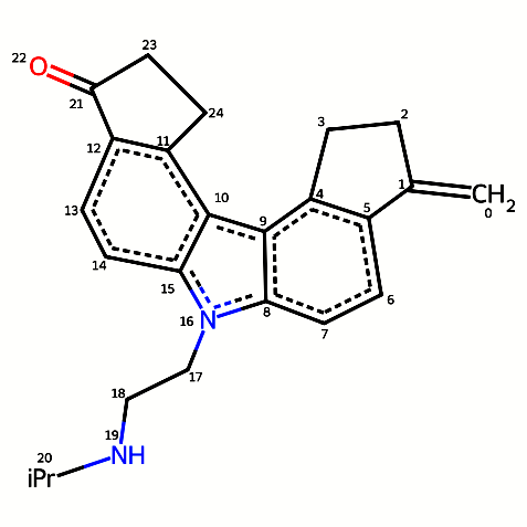 C=C1CCc2c1ccc1c2c2c3c(ccc2n1CCNC(C)C)C(=O)CC3